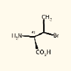 CC(Br)[C@H](N)C(=O)O